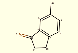 Cc1ccc2c(c1)C(=S)CC2